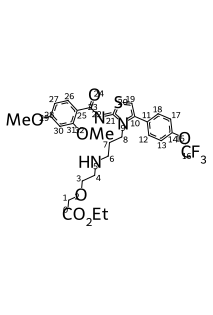 CCOC(=O)COCCNCCCn1c(-c2ccc(OC(F)(F)F)cc2)cs/c1=N\C(=O)c1ccc(OC)cc1OC